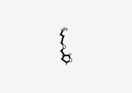 CC(C)CCCOCC1CCOC1